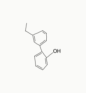 CCc1cccc(-c2ccccc2O)c1